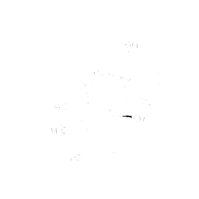 CC1(C)C(=O)CC[C@@]2(C)C3=CCCCC3(CO)CCC12